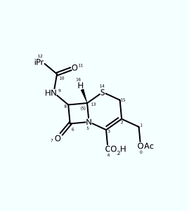 CC(=O)OCC1=C(C(=O)O)N2C(=O)C(NC(=O)C(C)C)[C@@H]2SC1